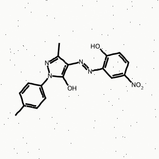 Cc1ccc(-n2nc(C)c(/N=N/c3cc([N+](=O)[O-])ccc3O)c2O)cc1